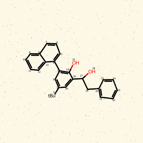 CC(C)(C)c1cc(-c2cccc3ccccc23)c(O)c(C(O)Cc2ccccc2)c1